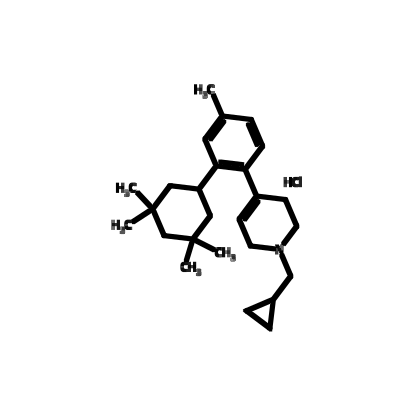 Cc1ccc(C2=CCN(CC3CC3)CC2)c(C2CC(C)(C)CC(C)(C)C2)c1.Cl